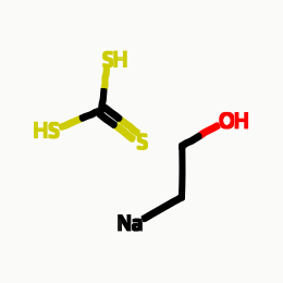 OC[CH2][Na].S=C(S)S